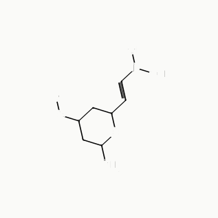 BC1CC(OO)CC(/C=C/P(O)O)O1